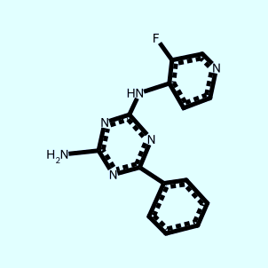 Nc1nc(Nc2ccncc2F)nc(-c2ccccc2)n1